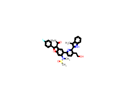 CNC(=O)c1c(-c2ccc(F)cc2)oc2cc(N(C)[S+](C)[O-])c(-c3ccc(CCO)c(-c4[nH]c5ccccc5c4C)n3)cc12